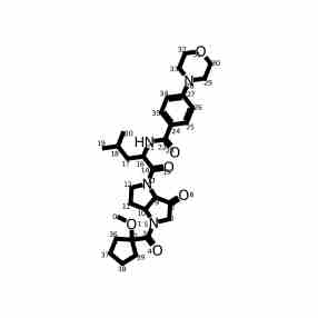 COC1(C(=O)N2CC(=O)C3C2CCN3C(=O)C(CC(C)C)NC(=O)c2ccc(N3CCOCC3)cc2)CCCC1